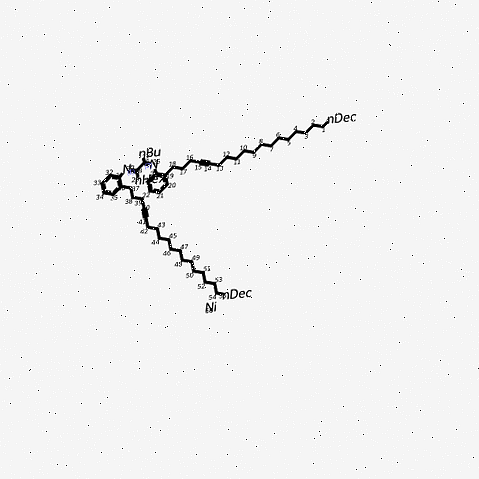 CCCCCCCCCCCCCCCCCCCCCCCC#CCCCc1ccccc1/N=C(CCCC)\C(CCCCCC)=N\c1ccccc1CCCC#CCCCCCCCCCCCCCCCCCCCCCCC.[Ni]